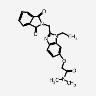 CCn1c(CN2C(=O)c3ccccc3C2=O)nc2ccc(OCC(=O)N(C)C)cc21